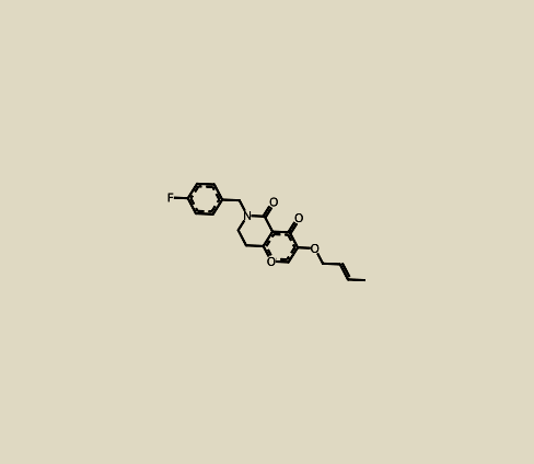 CC=CCOc1coc2c(c1=O)C(=O)N(Cc1ccc(F)cc1)CC2